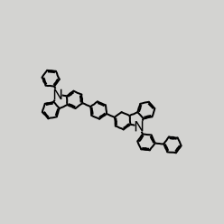 C1=C(c2ccc(-c3ccc4c(c3)c3ccccc3n4-c3ccccc3)cc2)CC2C(=C1)N(c1cccc(-c3ccccc3)c1)c1ccccc12